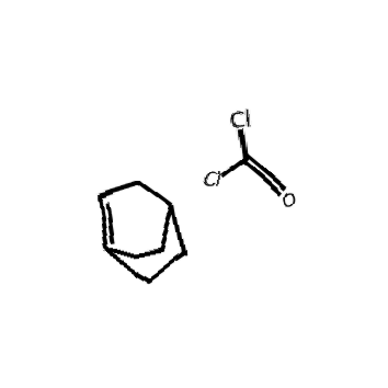 C1=C2CCC(C1)C2.O=C(Cl)Cl